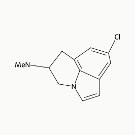 CNC1Cc2cc(Cl)cc3ccn(c23)C1